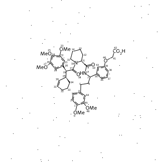 COc1ccc(CCC(NC(=O)[C@@H]2CCCCN2C(=O)[C@H](c2cc(OC)c(OC)c(OC)c2)[C@@H]2C=CCCC2)c2cccc(OCC(=O)O)c2)cc1OC